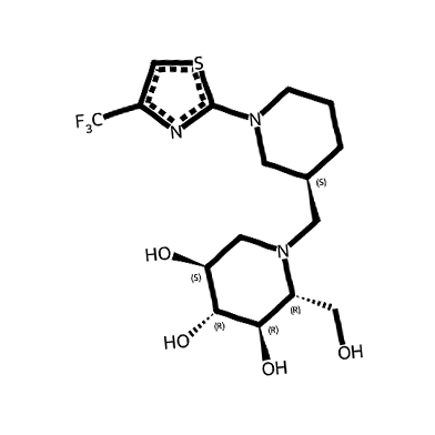 OC[C@@H]1[C@@H](O)[C@H](O)[C@@H](O)CN1C[C@@H]1CCCN(c2nc(C(F)(F)F)cs2)C1